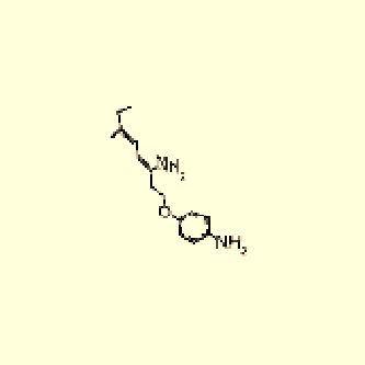 CC/C(C)=C/C=C(\N)CCOc1ccc(N)cc1